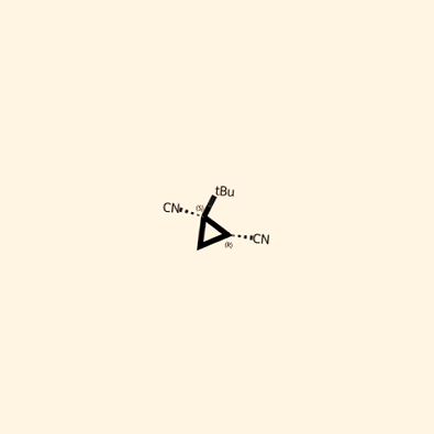 [C-]#[N+][C@@]1(C(C)(C)C)C[C@H]1C#N